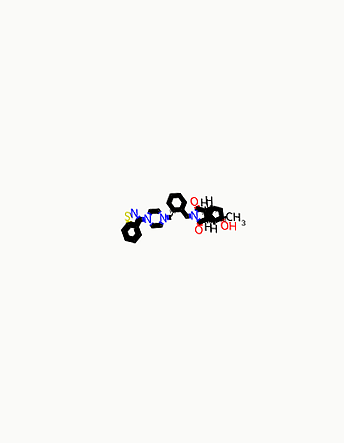 C[C@]1(O)C[C@@H]2C[C@H]1[C@H]1C(=O)N(CC3CCCC[C@H]3CN3CCN(c4nsc5ccccc45)CC3)C(=O)[C@@H]21